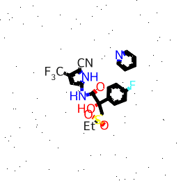 CCS(=O)(=O)CC(O)(C(=O)Nc1cc(C(F)(F)F)c(C#N)[nH]1)c1ccc(F)cc1.c1ccncc1